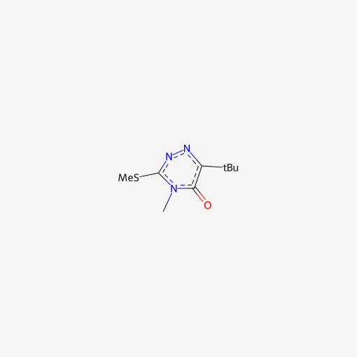 CSc1nnc(C(C)(C)C)c(=O)n1C